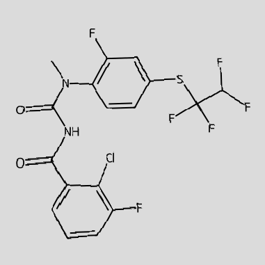 CN(C(=O)NC(=O)c1cccc(F)c1Cl)c1ccc(SC(F)(F)C(F)F)cc1F